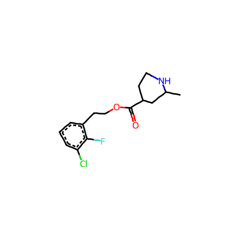 CC1CC(C(=O)OCCc2cccc(Cl)c2F)CCN1